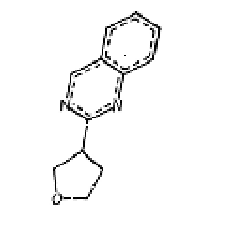 c1ccc2nc(C3CCOC3)ncc2c1